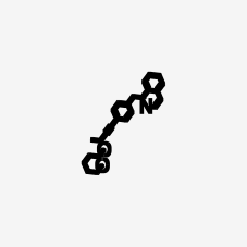 CC(C#Cc1ccc(Cc2nccc3ccccc23)cc1)OC1CCCCO1